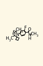 CNC(=O)c1ccc(N(C(C)=S)C2(C(C)=O)CCC2)cc1F